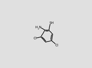 Nc1c(S)cc(Cl)cc1Cl